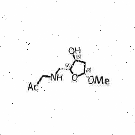 CO[C@H]1C[C@H](O)[C@@H](CNCC(C)=O)O1